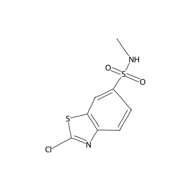 CNS(=O)(=O)c1ccc2nc(Cl)sc2c1